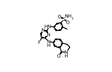 Cc1ccc(Nc2ncc(F)c(Nc3ccc4c(c3)C(=O)NCC4)n2)cc1S(N)(=O)=O